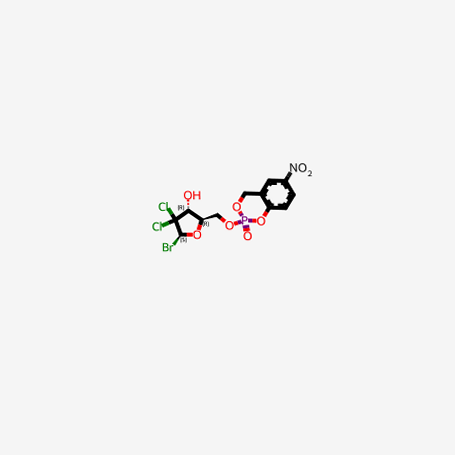 O=[N+]([O-])c1ccc2c(c1)COP(=O)(OC[C@H]1O[C@@H](Br)C(Cl)(Cl)[C@@H]1O)O2